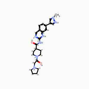 Cn1cc(-c2ccc3cnc(NC(=O)C4CCN(C(=O)CN5CCCC5)CC4)nc3c2)cn1